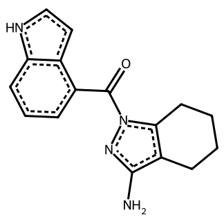 Nc1nn(C(=O)c2cccc3[nH]ccc23)c2c1CCCC2